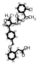 Cc1onc(-c2ccc(COc3ccccc3CC(=O)O)cc2)c1NC(=O)O[C@H](C)c1ccccc1Cl